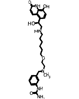 CN(CCOCCCCCCNCC(O)c1ccc(O)c2[nH]c(=O)ccc12)Cc1cccc(NC(N)=O)c1